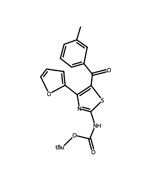 Cc1cccc(C(=O)c2sc(NC(=O)OC(C)(C)C)nc2-c2ccco2)c1